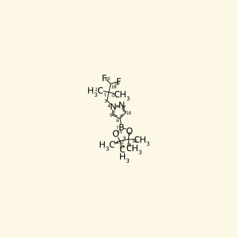 CC(C)(Cn1cc(B2OC(C)(C)C(C)(C)O2)cn1)C(F)F